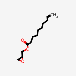 C=CCCCCCCCC(=O)OCC1CO1